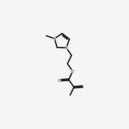 C=C(C)C(=O)OCCN1C=CN(C)C1